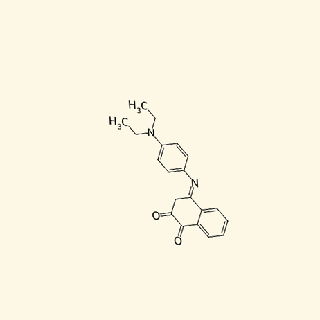 CCN(CC)c1ccc(N=C2CC(=O)C(=O)c3ccccc32)cc1